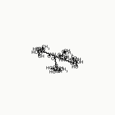 CC(=O)NC1[C@H](OCCCCC(=O)NCCN(CCN(CCNC(=O)CCCCO[C@@H]2OC(CO)[C@H](O)[C@H](O)C2NC(C)=O)C(=O)C(O)COP(C)(=O)O)C(=O)CCCCO[C@@H]2OC(CO)[C@H](O)[C@H](O)C2NC(C)=O)OC(CO)[C@H](O)[C@@H]1O